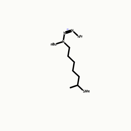 CCCCN(CCCCCC(C)SC)/N=N\CCC